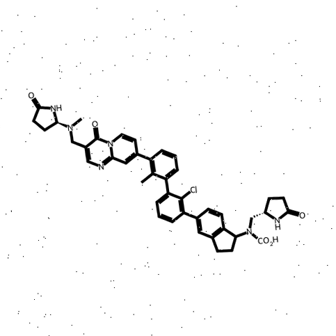 Cc1c(-c2ccn3c(=O)c(CN(C)[C@H]4CCC(=O)N4)cnc3c2)cccc1-c1cccc(-c2ccc3c(c2)CCC3N(C[C@@H]2CCC(=O)N2)C(=O)O)c1Cl